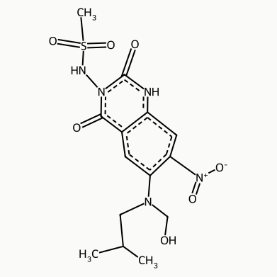 CC(C)CN(CO)c1cc2c(=O)n(NS(C)(=O)=O)c(=O)[nH]c2cc1[N+](=O)[O-]